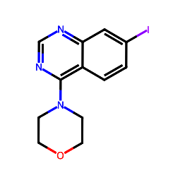 Ic1ccc2c(N3CCOCC3)ncnc2c1